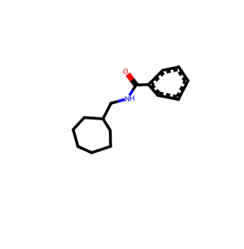 O=C(NCC1CCCCCC1)c1ccccc1